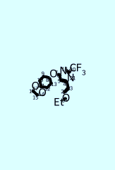 CCOC=Cc1cc(OC2CCC3(CC2)OCCO3)nc(C(F)(F)F)n1